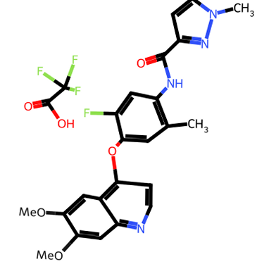 COc1cc2nccc(Oc3cc(C)c(NC(=O)c4ccn(C)n4)cc3F)c2cc1OC.O=C(O)C(F)(F)F